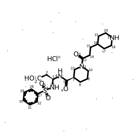 Cl.O=C(O)C[C@@H](NC(=O)[C@@H]1CCCN(C(=O)CCC2CCNCC2)C1)NS(=O)(=O)c1ccccc1